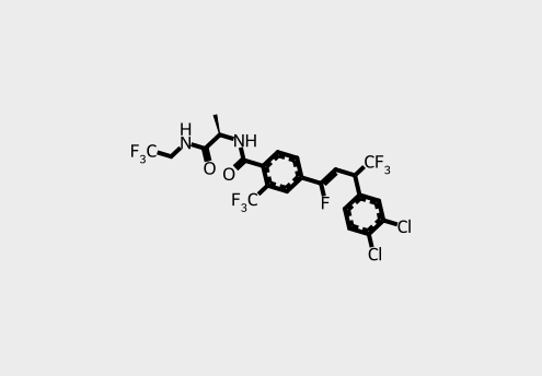 C[C@@H](NC(=O)c1ccc(/C(F)=C/C(c2ccc(Cl)c(Cl)c2)C(F)(F)F)cc1C(F)(F)F)C(=O)NCC(F)(F)F